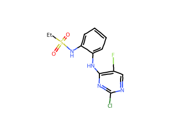 CCS(=O)(=O)Nc1ccccc1Nc1nc(Cl)ncc1F